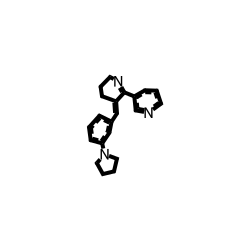 C(=C1CCCN=C1c1cccnc1)c1cccc(N2CCCC2)c1